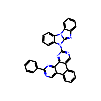 c1ccc(-c2ncc3c4ccccc4c4cnc(-n5c6ccccc6n6c7ccccc7nc56)nc4c3n2)cc1